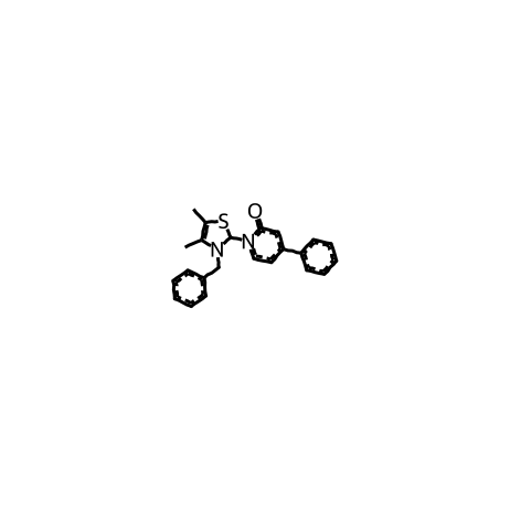 CC1=C(C)N(Cc2ccccc2)C(n2ccc(-c3ccccc3)cc2=O)S1